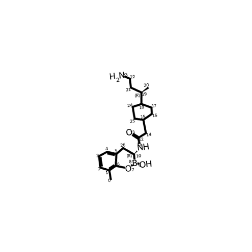 Cc1cccc2c1OB(O)[C@@H](NC(=O)CC1CCC([C@H](C)CCN)CC1)C2